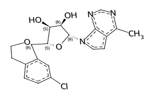 Cc1ncnc2c1ccn2[C@@H]1O[C@H]([C@@H]2OCCc3ccc(Cl)cc32)[C@@H](O)[C@H]1O